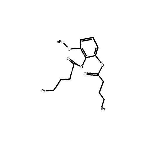 CCCCOc1cccc(OC(=O)CCCC(C)C)c1OC(=O)CCCC(C)C